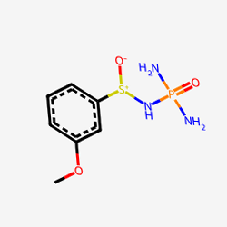 COc1cccc([S+]([O-])NP(N)(N)=O)c1